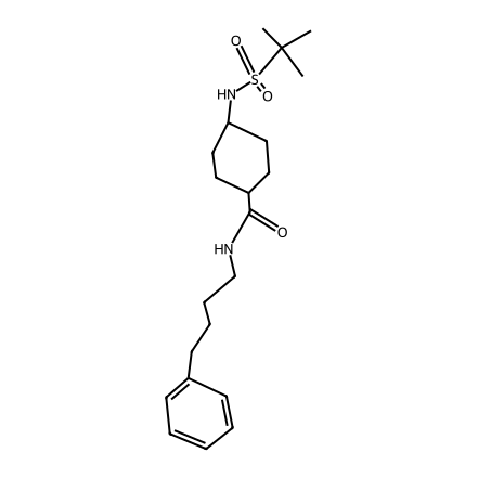 CC(C)(C)S(=O)(=O)NC1CCC(C(=O)NCCCCc2ccccc2)CC1